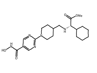 COC(=O)[C@@H](NCC1CCN(c2ncc(C(=O)NO)cn2)CC1)C1CCCCC1